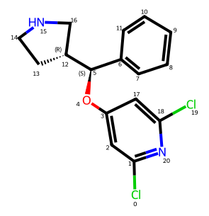 Clc1cc(O[C@H](c2ccccc2)[C@@H]2CCNC2)cc(Cl)n1